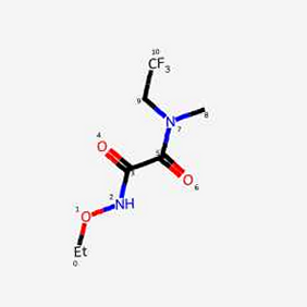 CCONC(=O)C(=O)N(C)CC(F)(F)F